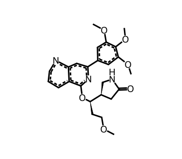 COCC[C@@H](Oc1nc(-c2cc(OC)c(OC)c(OC)c2)cc2ncccc12)[C@H]1CNC(=O)C1